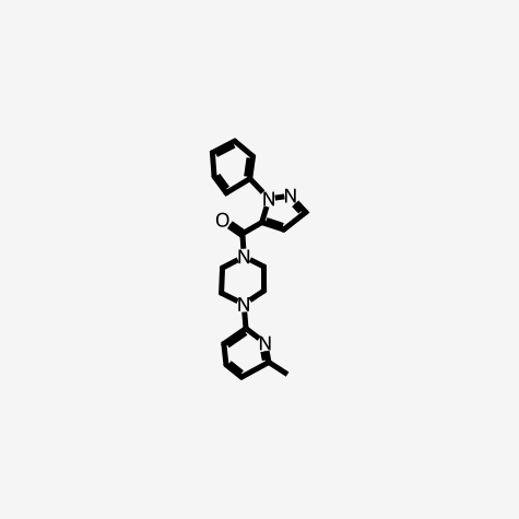 Cc1cccc(N2CCN(C(=O)c3ccnn3-c3ccccc3)CC2)n1